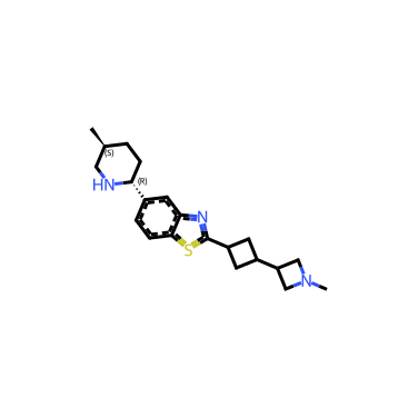 C[C@H]1CC[C@H](c2ccc3sc(C4CC(C5CN(C)C5)C4)nc3c2)NC1